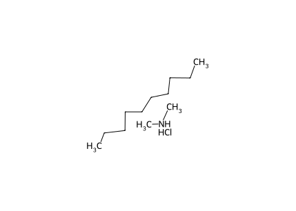 CCCCCCCCCC.CNC.Cl